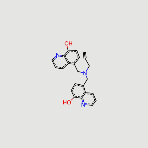 C#CCN(Cc1ccc(O)c2ncccc12)Cc1ccc(O)c2ncccc12